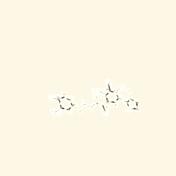 Cn1c(-c2cccs2)cc(C(=O)NCCCc2ccc(Cl)c(Cl)c2)c(O)c1=O